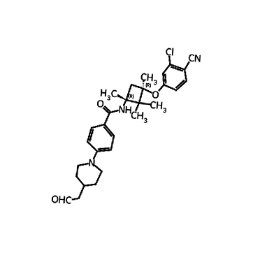 CC1(C)[C@](C)(NC(=O)c2ccc(N3CCC(CC=O)CC3)cc2)C[C@@]1(C)Oc1ccc(C#N)c(Cl)c1